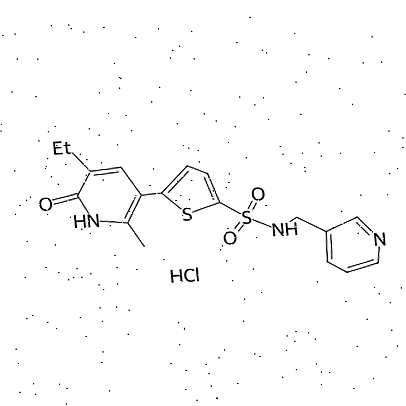 CCc1cc(-c2ccc(S(=O)(=O)NCc3cccnc3)s2)c(C)[nH]c1=O.Cl